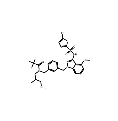 COc1cccc2c1c(NS(=O)(=O)c1ccc(Cl)s1)nn2Cc1cccc(CN(CC(C)CN)C(=O)C(F)(F)F)c1